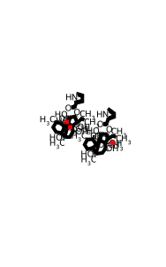 CC(C)[C@@]1(O)[C@@H](OC(=O)c2ccc[nH]2)[C@@]2(O)[C@@]3(C)C[C@]4(O)O[C@@]5([C@H](O)[C@@H](C)CC[C@]35O)[C@@]2(O)[C@@]14C.CC(C)[C@@]1(O)[C@@H](OC(=O)c2ccc[nH]2)[C@@]2(O)[C@@]3(C)C[C@]4(O)O[C@@]5([C@H](O)[C@@H](C)CC[C@]35O)[C@@]2(O)[C@@]14C